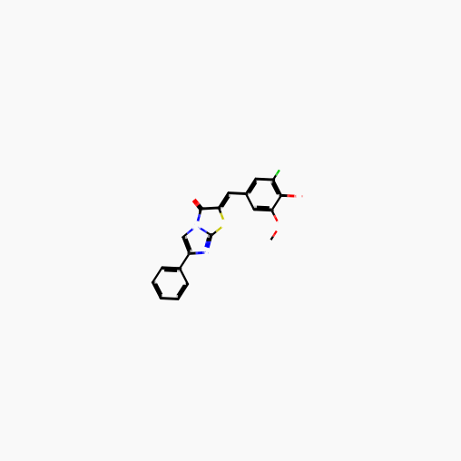 COc1cc(/C=c2\sc3nc(-c4ccccc4)cn3c2=O)cc(Cl)c1O